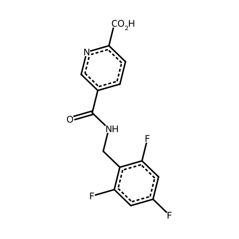 O=C(NCc1c(F)cc(F)cc1F)c1ccc(C(=O)O)nc1